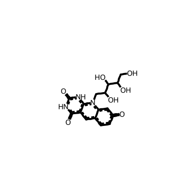 O=c1ccc2cc3c(=O)[nH]c(=O)[nH]c3n(CC(O)C(O)C(O)CO)c-2c1